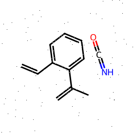 C=Cc1ccccc1C(=C)C.N=C=O